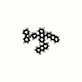 c1ccc2cc3cc(-c4c5ccccc5c(-c5ccc(-n6c7ccccc7c7ccccc76)cc5)c5ccc(-c6cccc7cc8ccccc8cc67)cc45)ccc3cc2c1